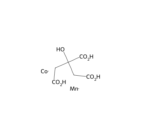 O=C(O)CC(O)(CC(=O)O)C(=O)O.[Co].[Mn]